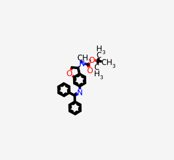 CN(C(=O)OC(C)(C)C)[C@@H]1COc2cc(N=C(c3ccccc3)c3ccccc3)ccc21